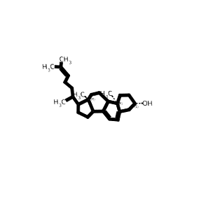 CC(C)=CCCC(C)C1CCC2C3=CC=C4C[C@@H](O)CC[C@]4(C)C3CC[C@@]21C